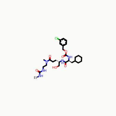 CCNC(=O)NCCN(C)C(=O)CC[C@@H](CO)NC(=O)[C@H](CC1CCCCC1)NC(=O)OCc1cccc(Cl)c1